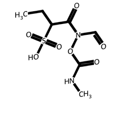 CCC(C(=O)N(C=O)OC(=O)NC)S(=O)(=O)O